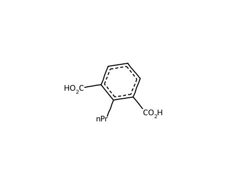 CCCc1c(C(=O)O)cccc1C(=O)O